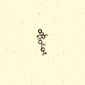 C#CNc1ccccc1Cc1nc(N[C@@H]2CCC[C@](C)(NCc3ccc([N+](=O)[O-])cn3)C2)ncc1CC